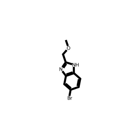 COCc1nc2cc(Br)ccc2[nH]1